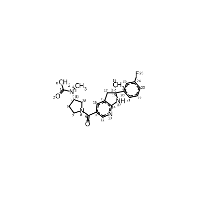 CC(=O)N(C)[C@H]1CCN(C(=O)c2cnc3c(c2)C[C@@](C)(c2cccc(F)c2)N3)C1